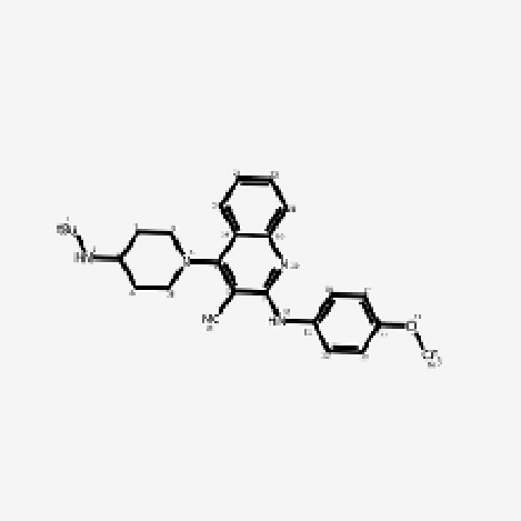 CC(C)(C)NC1CCN(c2c(C#N)c(Nc3ccc(OC(F)(F)F)cc3)nc3ccccc23)CC1